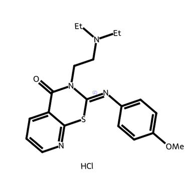 CCN(CC)CCn1c(=O)c2cccnc2s/c1=N\c1ccc(OC)cc1.Cl